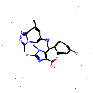 Cc1cc(NC(c2ccc(Cl)cc2)c2c(C(=O)O)nc(Br)n2C)cn2c(C)nnc12